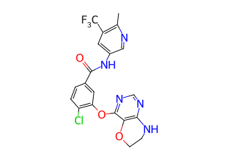 Cc1ncc(NC(=O)c2ccc(Cl)c(Oc3ncnc4c3OCCN4)c2)cc1C(F)(F)F